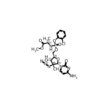 COC(=O)[C@H](C)NP(=O)(OC[C@H]1O[C@H](n2ccc(N)nc2=O)[C@](C)(N=[N+]=[N-])[C@@H]1O)Oc1ccccc1Cl